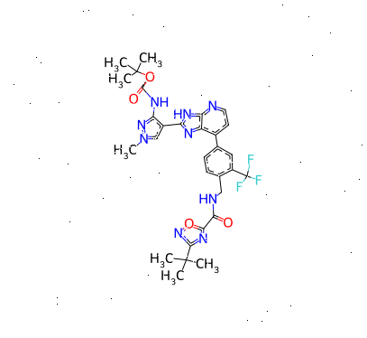 Cn1cc(-c2nc3c(-c4ccc(CNC(=O)c5nc(C(C)(C)C)no5)c(C(F)(F)F)c4)ccnc3[nH]2)c(NC(=O)OC(C)(C)C)n1